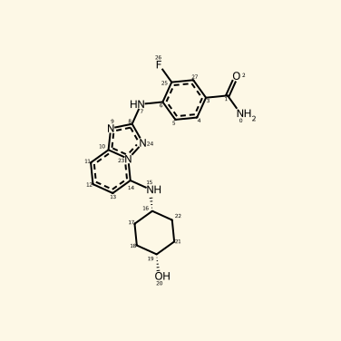 NC(=O)c1ccc(Nc2nc3cccc(N[C@H]4CC[C@@H](O)CC4)n3n2)c(F)c1